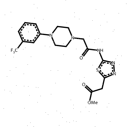 COC(=O)Cc1nnc(NC(=O)CN2CCN(c3cccc(C(F)(F)F)c3)CC2)s1